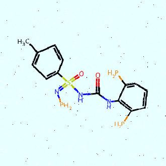 Cc1ccc(S(=O)(=NP)NC(=O)Nc2c(P)cccc2P)cc1